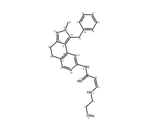 COCCN/C=C\C(=N)Nc1ncc2c(n1)-c1c(nn(C)c1Cc1ccccc1)CC2